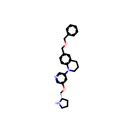 c1ccc(COCc2ccc3c(c2)CCCN3c2cncc(OC[C@@H]3CCCN3)c2)cc1